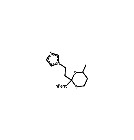 CCCCCC1(CCn2ccnc2)SCCC(C)S1